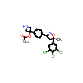 CC(C)(C)C(=O)OC1(c2ccc(C3=NO[C@@](c4cc(Cl)c(Cl)c(Cl)c4)(C(F)(F)F)C3)cc2)CNC1